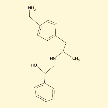 CC(Cc1ccc(CN)cc1)NCC(O)c1ccccc1